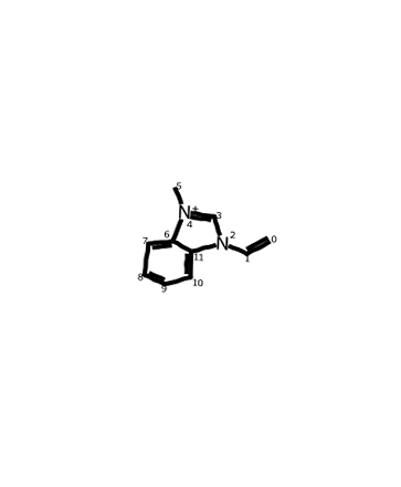 C=Cn1c[n+](C)c2ccccc21